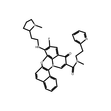 CN(CCc1ccccn1)C(=O)c1cn2c3c(c(NCCC4CCCN4C)c(F)cc3c1=O)Oc1ccc3ccccc3c1-2